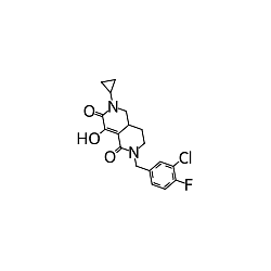 O=C1C2=C(O)C(=O)N(C3CC3)CC2CCN1Cc1ccc(F)c(Cl)c1